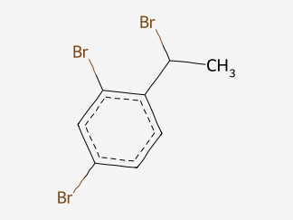 CC(Br)c1ccc(Br)cc1Br